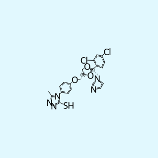 Cc1nnc(S)n1-c1ccc(OC[C@@H]2CO[C@@](Cn3ccnc3)(c3ccc(Cl)cc3Cl)O2)cc1